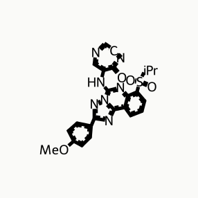 COc1ccc(-c2nc3c4cccc(S(=O)(=O)C(C)C)c4nc(Nc4cnccnc4=O)n3n2)cc1